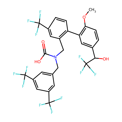 COc1ccc(C(O)C(F)(F)F)cc1-c1ccc(C(F)(F)F)cc1CN(Cc1cc(C(F)(F)F)cc(C(F)(F)F)c1)C(=O)O